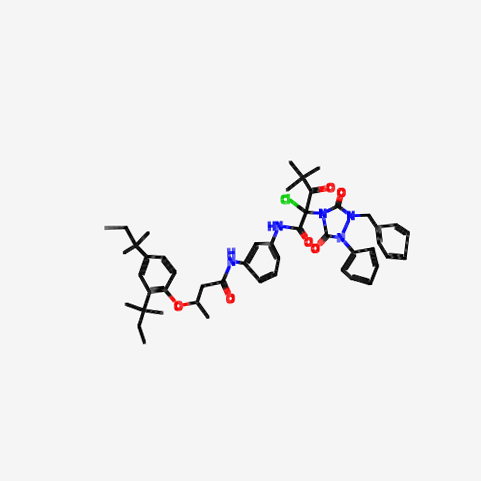 CCC(C)(C)c1ccc(OC(C)CC(=O)Nc2cccc(NC(=O)C(Cl)(C(=O)C(C)(C)C)n3c(=O)n(Cc4ccccc4)n(-c4ccccc4)c3=O)c2)c(C(C)(C)CC)c1